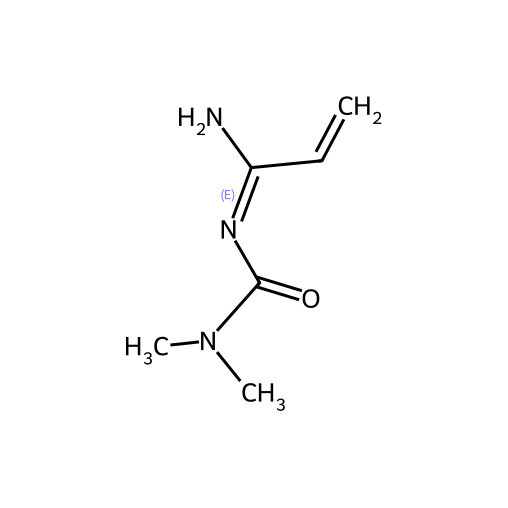 C=C/C(N)=N\C(=O)N(C)C